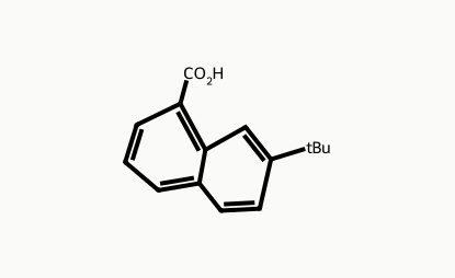 CC(C)(C)c1ccc2cccc(C(=O)O)c2c1